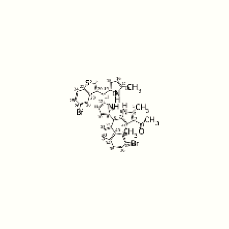 CC(=O)c1c(C)[nH]c(C(c2ccc(C(c3ccc(C)[nH]3)c3csc4ccc(Br)cc34)[nH]2)c2csc3ccc(Br)cc23)c1C